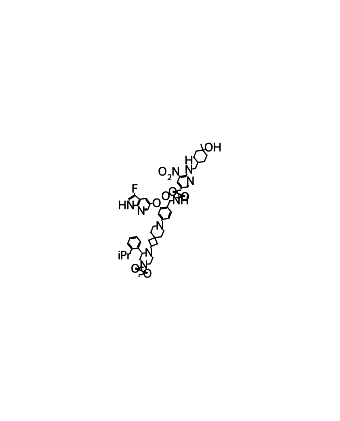 CC(C)c1ccccc1[C@@H]1CN(S(C)(=O)=O)CCN1C1CC2(CCN(c3ccc(C(=O)NS(=O)(=O)c4cnc(NCC5CCC(C)(O)CC5)c([N+](=O)[O-])c4)c(Oc4cnc5[nH]cc(F)c5c4)c3)CC2)C1